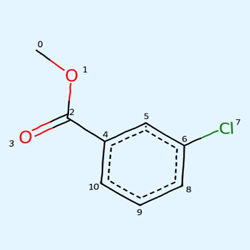 COC(=O)c1[c]c(Cl)ccc1